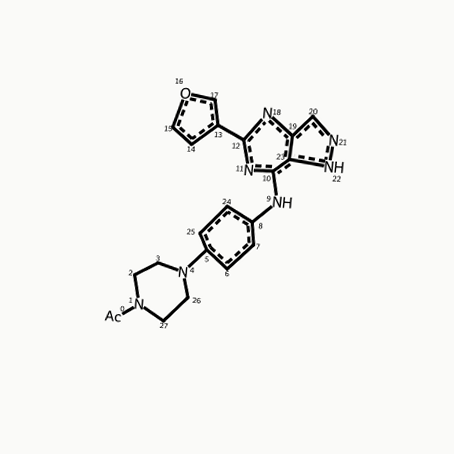 CC(=O)N1CCN(c2ccc(Nc3nc(-c4ccoc4)nc4cn[nH]c34)cc2)CC1